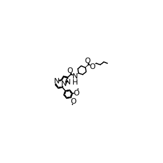 CCCCOC(=O)[C@H]1CC[C@H](NC(=O)c2cc3nccc(-c4ccc(OC)c(OC)c4)n3n2)CC1